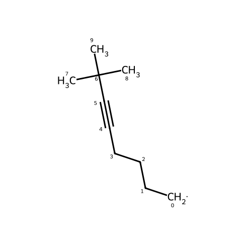 [CH2]CCCC#CC(C)(C)C